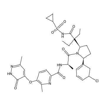 CCC(CC)(C(=O)NS(=O)(=O)C1CC1)[C@H]1CC[C@@H](C2=CC=CC(Cl)C2)N1C(=O)[C@@H](C)NC(=O)c1ccc(Oc2cc(C)n[nH]c2=O)c(C)n1